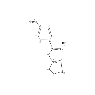 CCCCCc1ccc(C(=O)C[N+]2=CSCC2)cc1.[Br-]